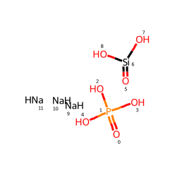 O=P(O)(O)O.O=[Si](O)O.[NaH].[NaH].[NaH]